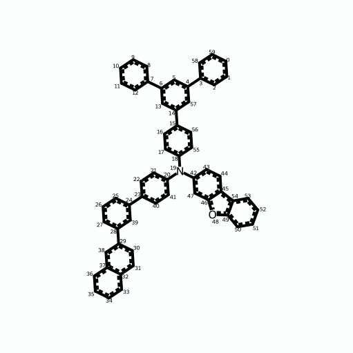 c1ccc(-c2cc(-c3ccccc3)cc(-c3ccc(N(c4ccc(-c5cccc(-c6ccc7ccccc7c6)c5)cc4)c4ccc5c(c4)oc4ccccc45)cc3)c2)cc1